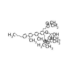 C=C(C)C(=O)OCCCc1cc(-c2ccc(-c3ccc(-c4ccc(CCCCC)cc4)c(CC)c3)cc2CC)cc(CCCOC(=O)C(=C)C)c1OCCC(CO)(CO)CCC(C)(C)C